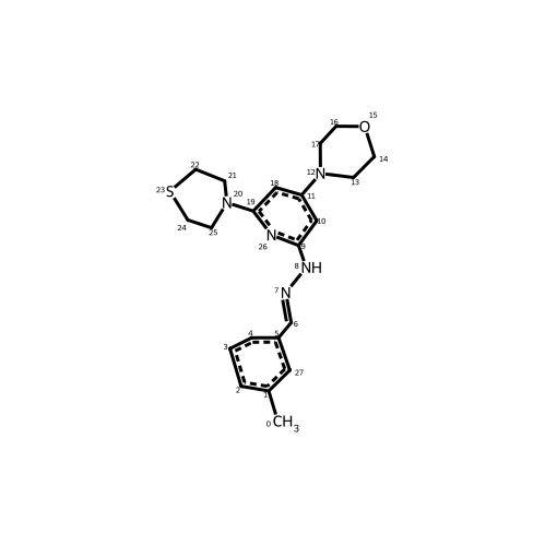 Cc1cccc(/C=N/Nc2cc(N3CCOCC3)cc(N3CCSCC3)n2)c1